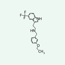 CCOc1cccc(CNCCc2c[nH]c3ccc(C(F)(F)F)cc23)c1